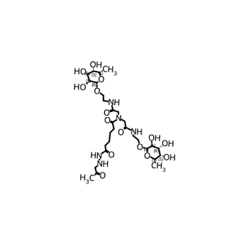 CC(=O)CNNC(=O)CCCCC(=O)N(CC(=O)NCCO[C@@H]1O[C@@H](C)[C@@H](O)[C@@H](O)[C@@H]1O)CC(=O)NCCO[C@@H]1O[C@@H](C)[C@@H](O)[C@@H](O)[C@@H]1O